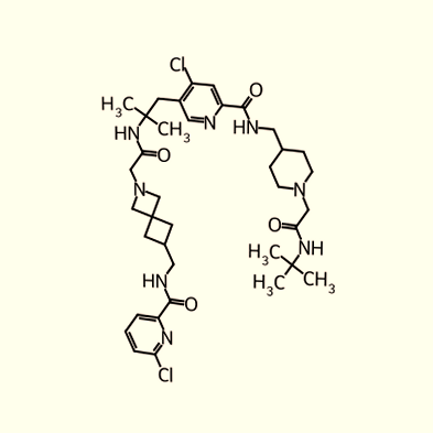 CC(C)(C)NC(=O)CN1CCC(CNC(=O)c2cc(Cl)c(CC(C)(C)NC(=O)CN3CC4(CC(CNC(=O)c5cccc(Cl)n5)C4)C3)cn2)CC1